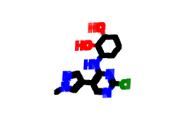 Cn1cc(-c2cnc(Cl)nc2N[C@@H]2CCC[C@@H](O)[C@H]2O)cn1